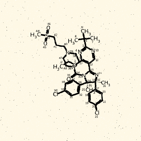 CCOc1nc(C(C)(C)C)ncc1C1=N[C@@](C)(c2ccc(Cl)cc2)[C@@](C)(c2ccc(Cl)cc2)N1C(=O)N1CCN(CCCS(C)(=O)=O)CC1